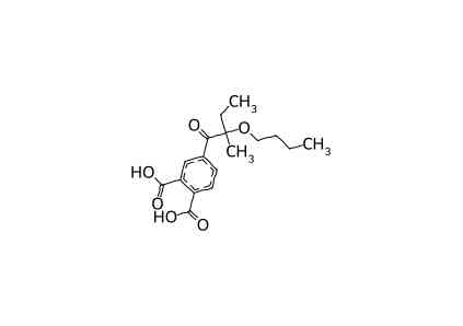 CCCCOC(C)(CC)C(=O)c1ccc(C(=O)O)c(C(=O)O)c1